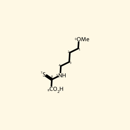 COCCCCNC(=S)C(=O)O